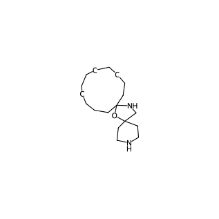 C1CCCCCC2(CCCCC1)NCC1(CCNCC1)O2